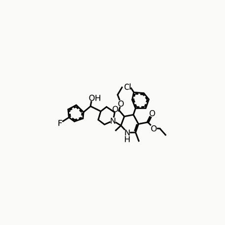 CCOC(=O)C1=C(C)NC(C)(N2CCC(C(O)c3ccc(F)cc3)CC2)C(C(=O)OCC)C1c1cccc(Cl)c1